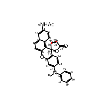 CC(=O)Nc1ccc2c3c(ccc2c1)Oc1cc(N(C)c2ccccc2)ccc1C31OC(=O)C2C=CC=CC21